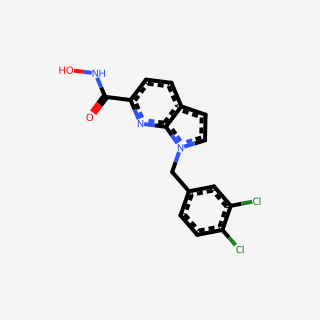 O=C(NO)c1ccc2ccn(Cc3ccc(Cl)c(Cl)c3)c2n1